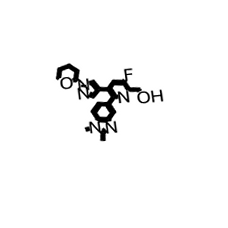 Cc1nc2cc(-c3nc(CO)c(F)cc3-c3cnn(C4CCCCO4)c3)ccc2n1C